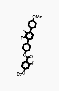 CCOc1ccc(C(=O)OC2CCC(c3ccc(C4CCC(OC)CC4)c(F)c3F)CC2)c(F)c1